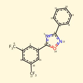 FC(F)(F)c1cc(-c2nc(-c3ccccc3)no2)cc(C(F)(F)F)c1